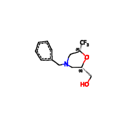 OC[C@@H]1CN(Cc2ccccc2)C[C@H](C(F)(F)F)O1